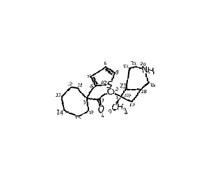 C[C@]1(OC(=O)C2(c3cccs3)CCCCCC2)CC2CNCCC21